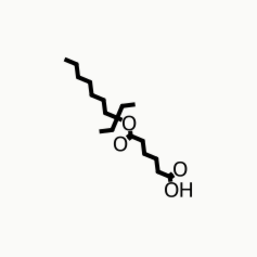 CCCCCCCC(CC)(CC)OC(=O)CCCCC(=O)O